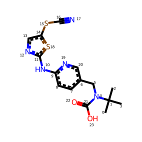 CC(C)(C)N(Cc1ccc(Nc2ncc(SC#N)s2)nc1)C(=O)O